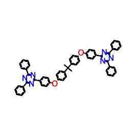 CC(C)(c1ccc(Oc2ccc(-c3nc(-c4ccccc4)nc(-c4ccccc4)n3)cc2)cc1)c1ccc(Oc2ccc(-c3nc(-c4ccccc4)nc(-c4ccccc4)n3)cc2)cc1